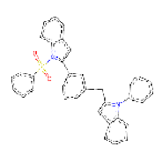 O=S(=O)(c1ccccc1)n1c(-c2cccc(Cc3cc4ccccc4n3-c3ccccc3)c2)cc2ccccc21